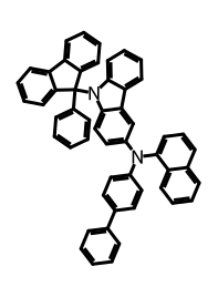 c1ccc(-c2ccc(N(c3ccc4c(c3)c3ccccc3n4C3(c4ccccc4)c4ccccc4-c4ccccc43)c3cccc4ccccc34)cc2)cc1